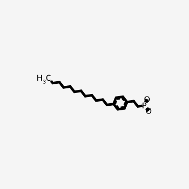 CCCCCCCCCCCCc1ccc(CCP(=O)=O)cc1